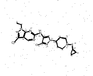 CCn1nc(Cl)c2cnc(Nc3cn(C4CCN(SC5CC5)CC4)nc3Cl)nc21